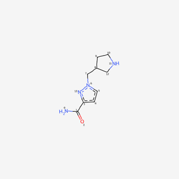 NC(=O)c1ccn(CC2CCNC2)n1